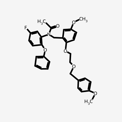 COc1ccc(COCCOc2ccc(OC)cc2CN(C(C)=O)c2cc(F)ccc2Oc2ccccc2)cc1